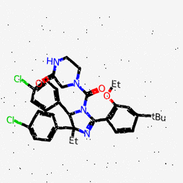 CCOc1cc(C(C)(C)C)ccc1C1=NC(CC)(c2ccc(Cl)cc2)C(c2ccc(Cl)cc2)N1C(=O)N1CCNC(=O)C1